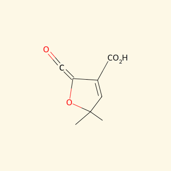 CC1(C)C=C(C(=O)O)C(=C=O)O1